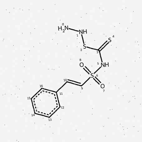 NNSC(=S)NS(=O)(=O)C=Cc1ccccc1